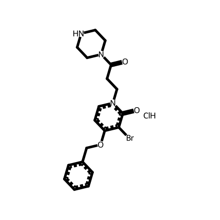 Cl.O=C(CCn1ccc(OCc2ccccc2)c(Br)c1=O)N1CCNCC1